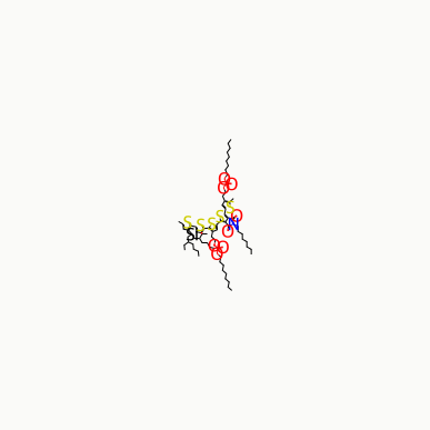 CCCCCCCCCOC(=O)OCCc1cc(-c2sc(-c3cc(CCOC(=O)OCCCCCCCCC)c(-c4cc5c(s4)-c4sc(C)cc4[Si]5(CC(CC)CCCC)CC(CC)CCCC)s3)c3c2C(=O)N(CCCCCCCC)C3=O)sc1C